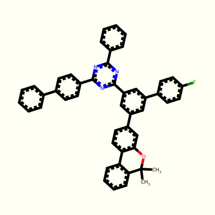 CC1(C)Oc2cc(-c3cc(-c4ccc(F)cc4)cc(-c4nc(-c5ccccc5)nc(-c5ccc(-c6ccccc6)cc5)n4)c3)ccc2-c2ccccc21